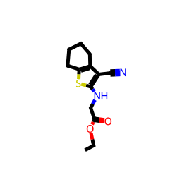 CCOC(=O)CNc1sc2c(c1C#N)CCCC2